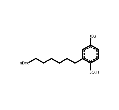 CCCCCCCCCCCCCCCCc1cc(C(C)(C)C)ccc1S(=O)(=O)O